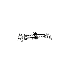 CCCCCCCCCCN(CCCCCCCCCC)C(=S)[S-].CCCCCCCCCCN(CCCCCCCCCC)C(=S)[S-].[O]=[Mo+2]